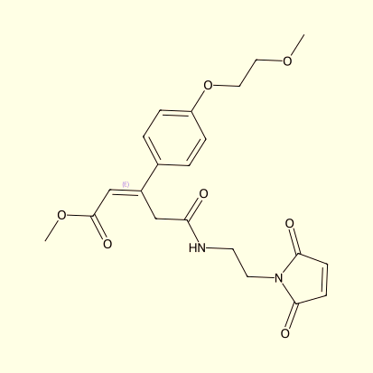 COCCOc1ccc(/C(=C/C(=O)OC)CC(=O)NCCN2C(=O)C=CC2=O)cc1